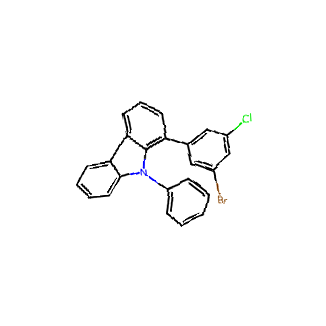 Clc1cc(Br)cc(-c2cccc3c4ccccc4n(-c4ccccc4)c23)c1